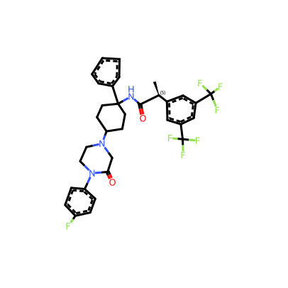 C[C@H](C(=O)NC1(c2ccccc2)CCC(N2CCN(c3ccc(F)cc3)C(=O)C2)CC1)c1cc(C(F)(F)F)cc(C(F)(F)F)c1